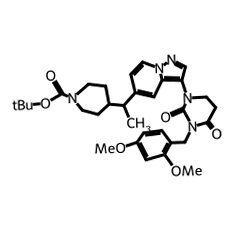 COc1ccc(CN2C(=O)CCN(c3cnn4ccc(C(C)C5CCN(C(=O)OC(C)(C)C)CC5)cc34)C2=O)c(OC)c1